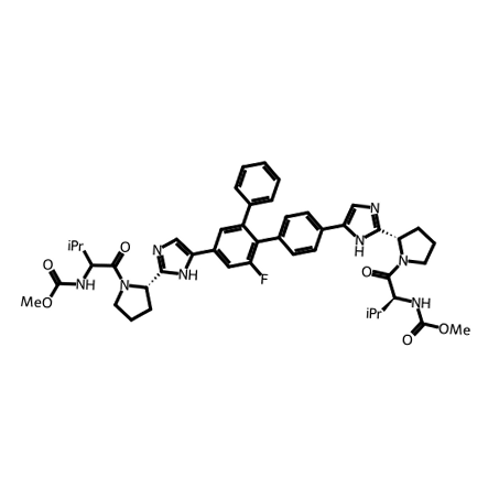 COC(=O)NC(C(=O)N1CCC[C@H]1c1ncc(-c2cc(F)c(-c3ccc(-c4cnc([C@@H]5CCCN5C(=O)[C@@H](NC(=O)OC)C(C)C)[nH]4)cc3)c(-c3ccccc3)c2)[nH]1)C(C)C